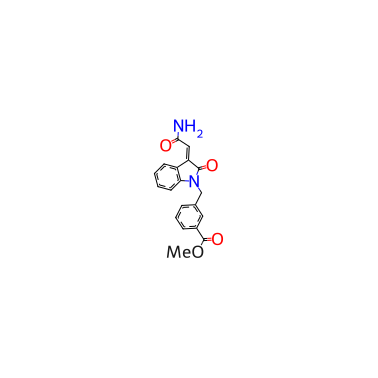 COC(=O)c1cccc(CN2C(=O)/C(=C/C(N)=O)c3ccccc32)c1